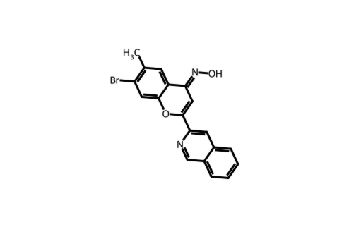 Cc1cc2/c(=N/O)cc(-c3cc4ccccc4cn3)oc2cc1Br